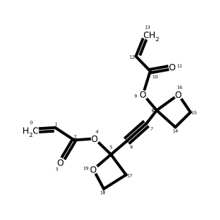 C=CC(=O)OC1(C#CC2(OC(=O)C=C)CCO2)CCO1